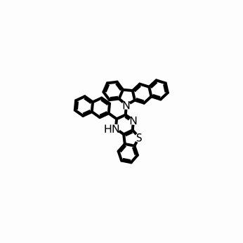 c1ccc2cc(C3Nc4c(sc5ccccc45)N=C3n3c4ccccc4c4cc5ccccc5cc43)ccc2c1